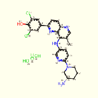 CC(=O)c1cnc2ccc(-c3cc(Cl)c(O)c(Cl)c3)nc2c1Nc1ccc(N2CCC[C@H](N)C2)nc1.Cl.Cl.Cl